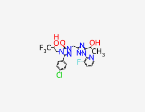 C[C@H](O)c1nc(Cn2nc(-c3ccc(Cl)cc3)n(C[C@H](O)C(F)(F)F)c2=O)nn1-c1ncccc1F